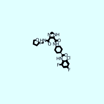 O=C(NC[C@H]1CCCO1)c1nc[nH]c1C(=O)N[C@H]1CC[C@H](C(=O)Nc2c(F)cc(F)cc2Cl)CC1